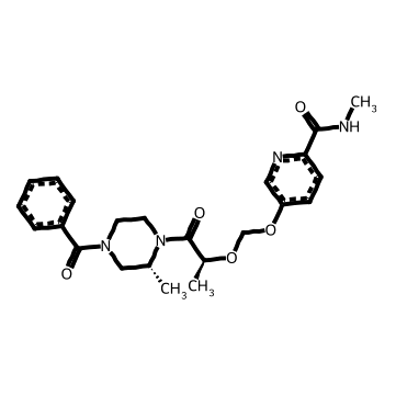 CNC(=O)c1ccc(OCO[C@@H](C)C(=O)N2CCN(C(=O)c3ccccc3)C[C@H]2C)cn1